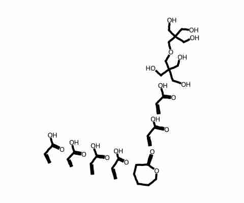 C=CC(=O)O.C=CC(=O)O.C=CC(=O)O.C=CC(=O)O.C=CC(=O)O.C=CC(=O)O.O=C1CCCCCO1.OCC(CO)(CO)COCC(CO)(CO)CO